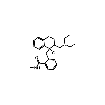 CCN(CC)CC1CCc2ccccc2C1(O)Cc1ccccc1C(=O)NC